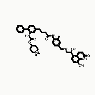 Cc1cc(CNC[C@@H](O)c2ccc(O)c3[nH]c(=O)ccc23)ccc1NC(=O)CCCc1ccc(-c2ccccc2)c(NC(=O)OC2CC[N+](C)(C)CC2)c1